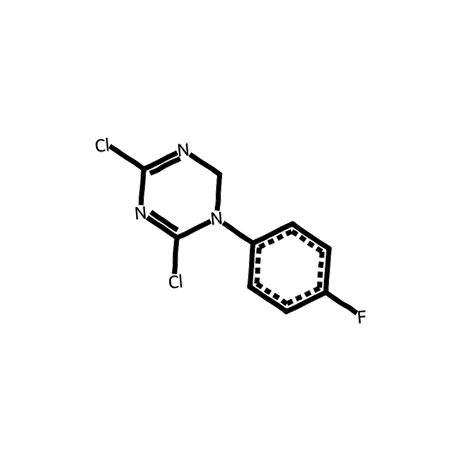 Fc1ccc(N2CN=C(Cl)N=C2Cl)cc1